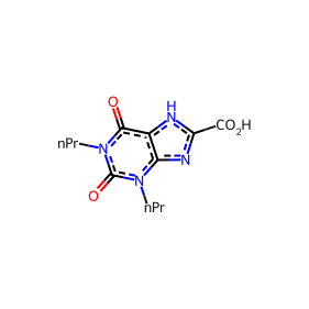 CCCn1c(=O)c2[nH]c(C(=O)O)nc2n(CCC)c1=O